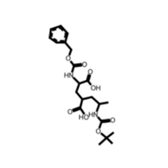 CC(CC(CC(NC(=O)OCc1ccccc1)C(=O)O)C(=O)O)NC(=O)OC(C)(C)C